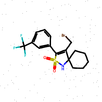 O=S1(=O)NC2(CCCCC2)C(CBr)=C1c1cccc(C(F)(F)F)c1